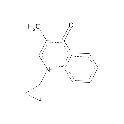 Cc1cn(C2CC2)c2ccccc2c1=O